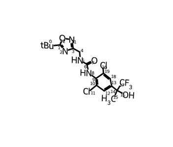 CC(C)(C)c1nc(CNC(=O)Nc2c(Cl)cc(C(C)(O)C(F)(F)F)cc2Cl)no1